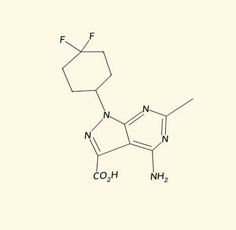 Cc1nc(N)c2c(C(=O)O)nn(C3CCC(F)(F)CC3)c2n1